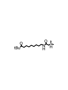 C[SH](C)CC(=O)NCCCCCCCCC(=O)C(C)(C)C